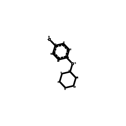 [O]c1ccc(OC2CCCCC2)cc1